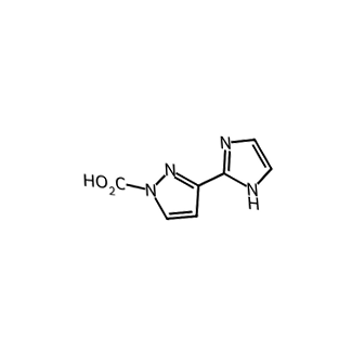 O=C(O)n1ccc(-c2ncc[nH]2)n1